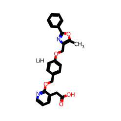 Cc1oc(-c2ccccc2)nc1COc1ccc(COc2ncccc2CC(=O)O)cc1.[LiH]